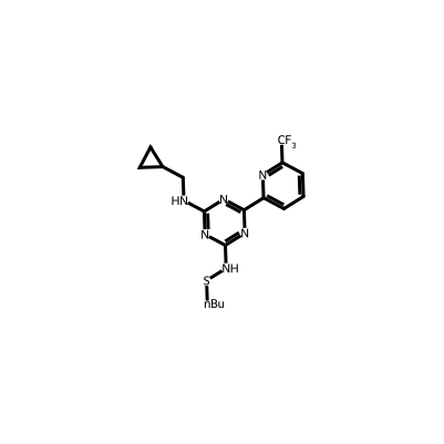 CCCCSNc1nc(NCC2CC2)nc(-c2cccc(C(F)(F)F)n2)n1